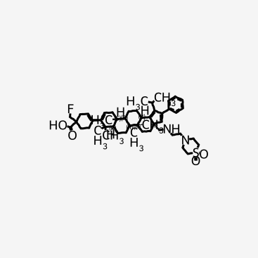 CC(C)C1=C2[C@H]3CC[C@@H]4[C@@]5(C)CC=C(C6=CCC(CF)(C(=O)O)CC6)C(C)(C)[C@@H]5CC[C@@]4(C)[C@]3(C)CC[C@@]2(CNCCN2CCS(=O)(=O)CC2)C=C1c1ccccc1